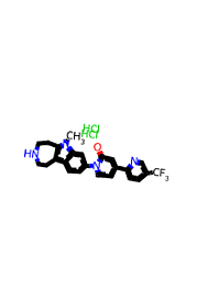 Cl.Cl.Cn1c2c(c3ccc(-n4ccc(-c5ccc(C(F)(F)F)cn5)cc4=O)cc31)CCNCC2